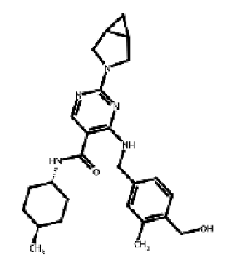 Cc1cc(CNc2nc(N3CC4CC4C3)ncc2C(=O)N[C@H]2CC[C@H](C)CC2)ccc1CO